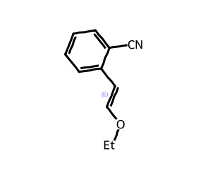 CCO/C=C/c1ccccc1C#N